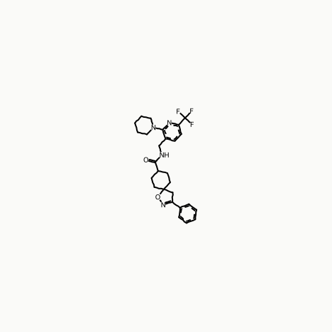 O=C(NCc1ccc(C(F)(F)F)nc1N1CCCCC1)C1CCC2(CC1)CC(c1ccccc1)=NO2